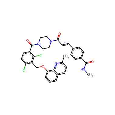 CNC(=O)c1ccc(/C=C/C(=O)N2CCN(C(=O)c3ccc(Cl)c(COc4cccc5ccc(C)nc45)c3Cl)CC2)cc1